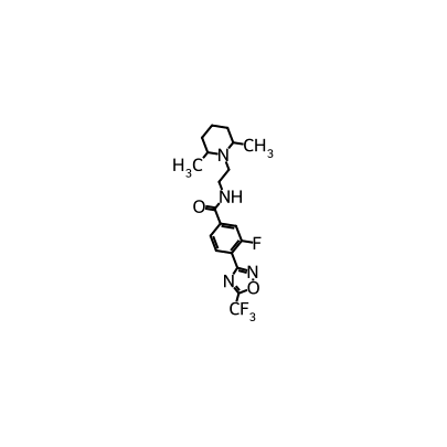 CC1CCCC(C)N1CCNC(=O)c1ccc(-c2noc(C(F)(F)F)n2)c(F)c1